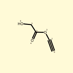 C#COC(=O)CO